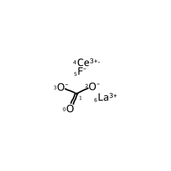 O=C([O-])[O-].[Ce+3].[F-].[La+3]